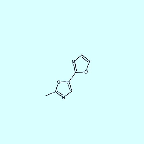 Cc1ncc(-c2ncco2)o1